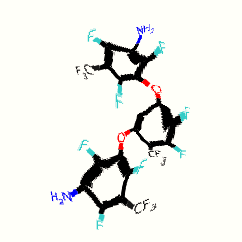 Nc1c(F)c(Oc2cc(Oc3c(F)c(N)c(F)c(C(F)(F)F)c3F)c(C(F)(F)F)c(F)c2F)c(F)c(C(F)(F)F)c1F